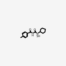 Cc1ccc(C(=O)NC(=O)N(S)C2CCCCC2)cc1